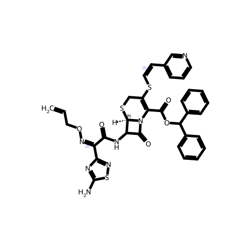 C=CCO/N=C(\C(=O)NC1C(=O)N2C(C(=O)OC(c3ccccc3)c3ccccc3)=C(S/C=C\c3cccnc3)CS[C@H]12)c1nsc(N)n1